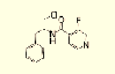 O=C(NC(CCl)Cc1ccccc1)c1ccncc1F